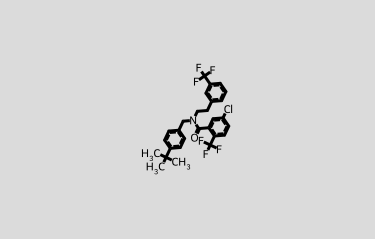 CC(C)(C)c1ccc(CN(CCc2cccc(C(F)(F)F)c2)C(=O)c2cc(Cl)ccc2C(F)(F)F)cc1